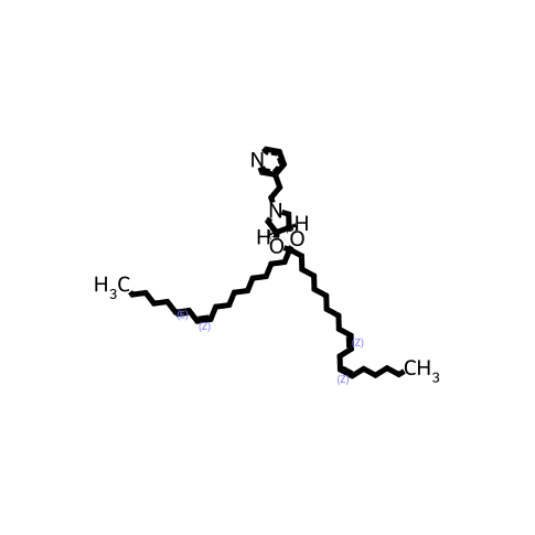 CCCCC/C=C\C/C=C\CCCCCCCCC1(CCCCCCCC/C=C\C=C\CCCCC)O[C@H]2CN(CCc3cccnc3)C[C@@H]2O1